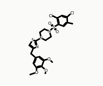 COc1cc(Cc2csc(N3CCN(S(=O)(=O)c4cc(C)c(Cl)cc4Cl)CC3)n2)cc(OC)c1OC